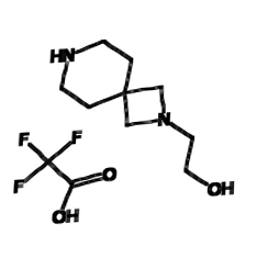 O=C(O)C(F)(F)F.OCCN1CC2(CCNCC2)C1